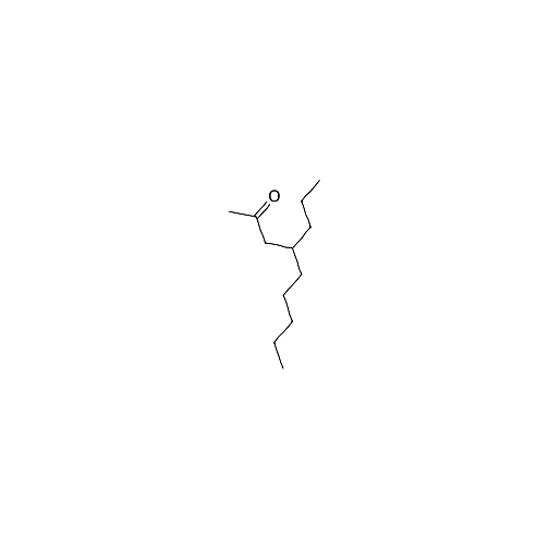 CCCCCC(CCC)CC(C)=O